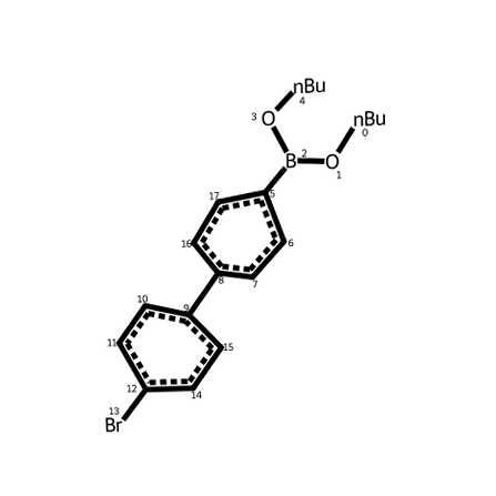 CCCCOB(OCCCC)c1ccc(-c2ccc(Br)cc2)cc1